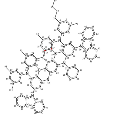 CCCCc1cc(C)cc(N2c3cc(C)cc(I)c3B3c4cc5c(cc4N(c4ccccc4)c4cc(-n6c7ccccc7c7ccccc76)cc2c43)Sc2cc(-n3c4ccccc4c4ccccc43)cc3c2B5c2c(CCCC)cc(C)cc2N3c2cc(C)cc(I)c2)c1